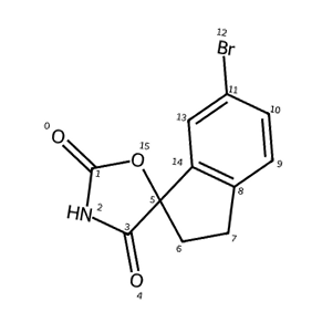 O=C1NC(=O)C2(CCc3ccc(Br)cc32)O1